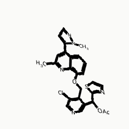 CC(=O)OC(c1nccs1)c1cncc(Cl)c1COc1cccc2c(-c3ccnn3C)cc(C)nc12